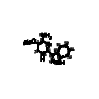 COC1=C(N)N=C(c2n[nH]c3ccccc23)NC1